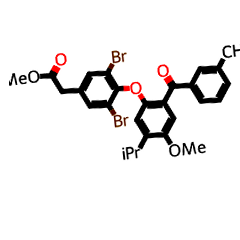 COC(=O)Cc1cc(Br)c(Oc2cc(C(C)C)c(OC)cc2C(=O)c2cccc(C)c2)c(Br)c1